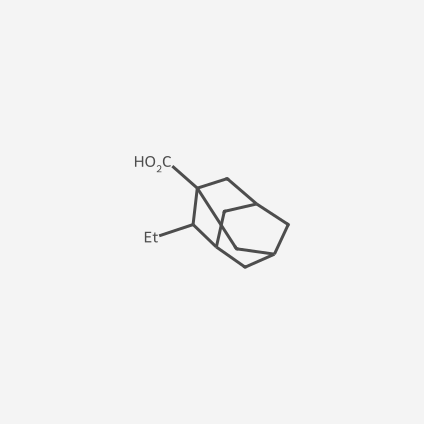 CCC1C2CC3CC(C2)CC1(C(=O)O)C3